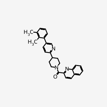 Cc1cccc(-c2ccc(C3CCN(C(=O)c4ccc5ccccc5n4)CC3)nc2)c1C